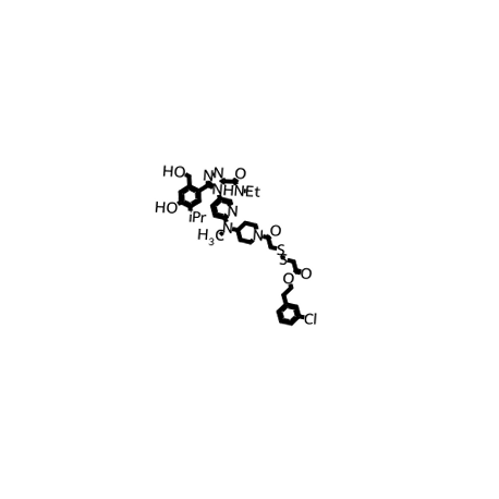 CCNC(=O)c1nnc(-c2cc(C(C)C)c(O)cc2CO)n1-c1ccc(N(C)C2CCN(C(=O)CSSCC(=O)OCCc3cccc(Cl)c3)CC2)nc1